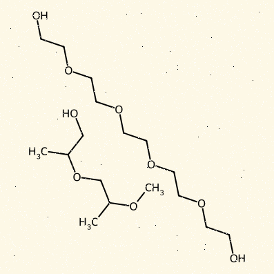 COC(C)COC(C)CO.OCCOCCOCCOCCOCCO